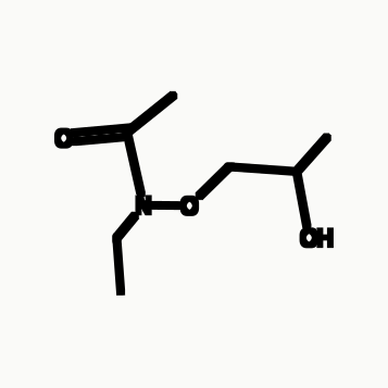 CCN(OCC(C)O)C(C)=O